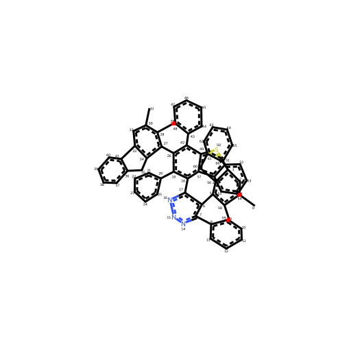 Cc1cc2c(c(-c3c(-c4ccccc4)nnnc3-c3c(-c4ccccc4)c(-c4c(C)c(C)cc5c4Cc4ccccc4-5)c(-c4ccccc4)c4sc5ccccc5c34)c1C)Cc1ccccc1-2